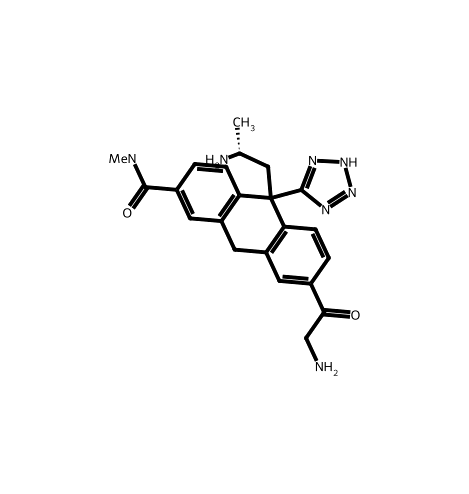 CNC(=O)c1ccc2c(c1)Cc1cc(C(=O)CN)ccc1C2(C[C@@H](C)N)c1nn[nH]n1